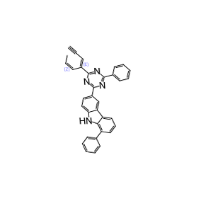 C#C/C=C(\C=C/C)c1nc(-c2ccccc2)nc(-c2ccc3[nH]c4c(-c5ccccc5)cccc4c3c2)n1